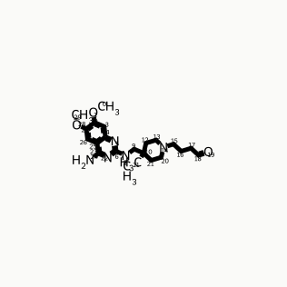 COc1cc2nc(N(C)CC3(C)CCN(CCCC=O)CC3)nc(N)c2cc1OC